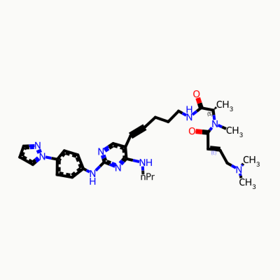 CCCNc1nc(Nc2ccc(-n3cccn3)cc2)ncc1C#CCCCNC(=O)[C@H](C)N(C)C(=O)/C=C/CN(C)C